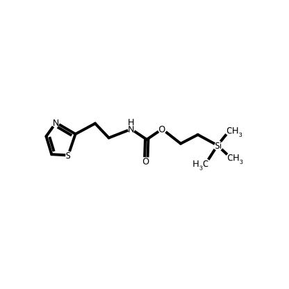 C[Si](C)(C)CCOC(=O)NCCc1nccs1